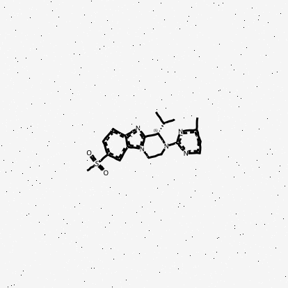 Cc1ccnc(N2CCn3c(nc4ccc(S(C)(=O)=O)cc43)[C@@H]2C(C)C)n1